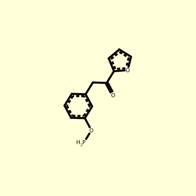 O=C(Cc1cccc(OP)c1)c1ccco1